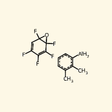 Cc1ccc[c]([AlH2])c1C.FC1=CC2(F)OC2(F)C(F)=C1F